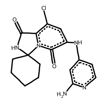 Nc1cc(Nc2cc(Cl)c3n(c2=O)C2(CCCCC2)NC3=O)ccn1